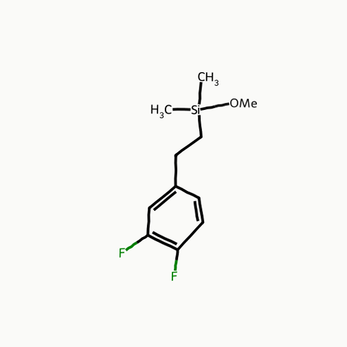 CO[Si](C)(C)CCc1ccc(F)c(F)c1